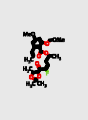 C/C=C/c1cc(OC)cc(OCOC)c1C(=O)OC(C)C/C=C(/F)C(=O)C1OC(C)(C)O[C@H]1C